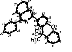 CC1(C)c2ccccc2Oc2ccc(-c3nc(-c4ccccc4)c4ccccc4n3)cc21